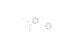 COc1ccc(SCc2ccccc2C(=O)O)cc1C12CC3CC(CC(C3)C1)C2